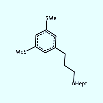 CCCCCCCCCCc1cc(SC)cc(SC)c1